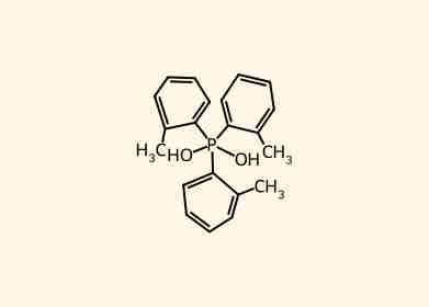 Cc1ccccc1P(O)(O)(c1ccccc1C)c1ccccc1C